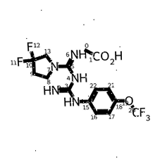 CC(=O)O.N=C(NC(=N)N1CCC(F)(F)C1)Nc1ccc(OC(F)(F)F)cc1